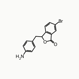 Nc1ccc(CC2OC(=O)c3cc(Br)ccc32)cc1